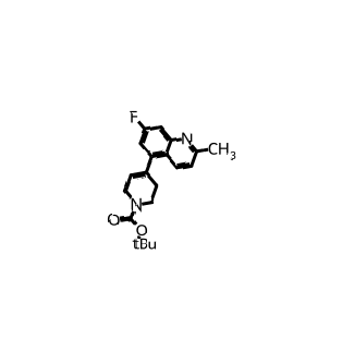 Cc1ccc2c(C3=CCN(C(=O)OC(C)(C)C)CC3)cc(F)cc2n1